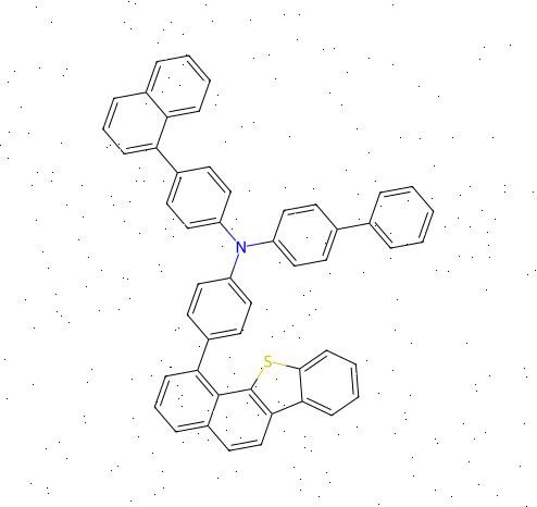 c1ccc(-c2ccc(N(c3ccc(-c4cccc5ccccc45)cc3)c3ccc(-c4cccc5ccc6c7ccccc7sc6c45)cc3)cc2)cc1